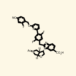 CC(=O)N1C[C@@H]2[C@H](n3c(Cc4cc(F)c(-c5cccc(OCc6ccc(C#N)cc6F)n5)cc4F)nc4ccc(C(=O)O)cc43)CO[C@@H]2C1